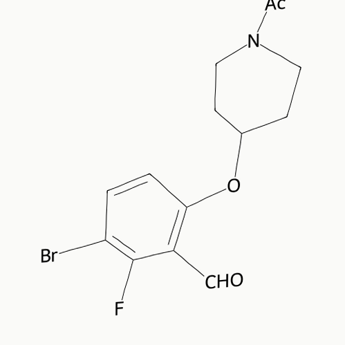 CC(=O)N1CCC(Oc2ccc(Br)c(F)c2C=O)CC1